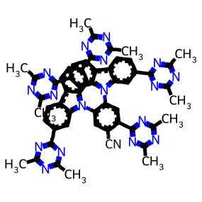 Cc1nc(C)nc(-c2ccc3c4ccc(-c5nc(C)nc(C)n5)cc4n(-c4cc(C#N)c(-c5nc(C)nc(C)n5)cc4-n4c5cc(-c6nc(C)nc(C)n6)ccc5c5ccc(-c6nc(C)nc(C)n6)cc54)c3c2)n1